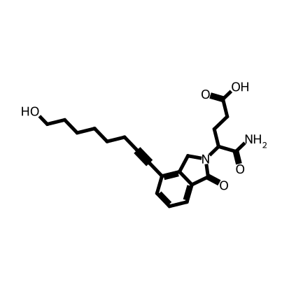 NC(=O)C(CCC(=O)O)N1Cc2c(C#CCCCCCCO)cccc2C1=O